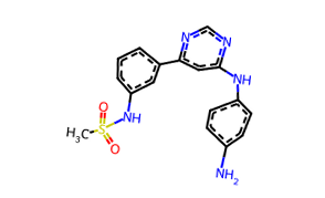 CS(=O)(=O)Nc1cccc(-c2cc(Nc3ccc(N)cc3)ncn2)c1